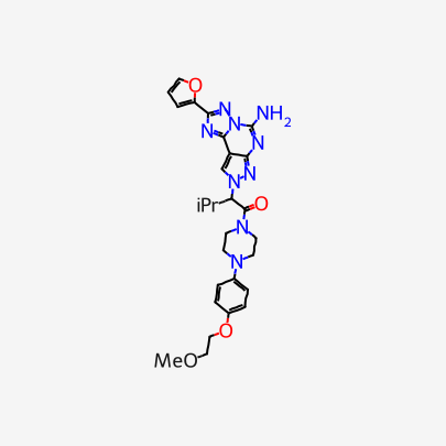 COCCOc1ccc(N2CCN(C(=O)C(C(C)C)n3cc4c(nc(N)n5nc(-c6ccco6)nc45)n3)CC2)cc1